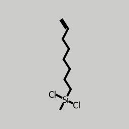 C=CCCCCCC[Si](C)(Cl)Cl